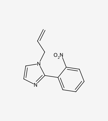 C=CCn1ccnc1-c1ccccc1[N+](=O)[O-]